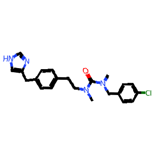 CN(CCc1ccc(Cc2c[nH]cn2)cc1)C(=O)N(C)Cc1ccc(Cl)cc1